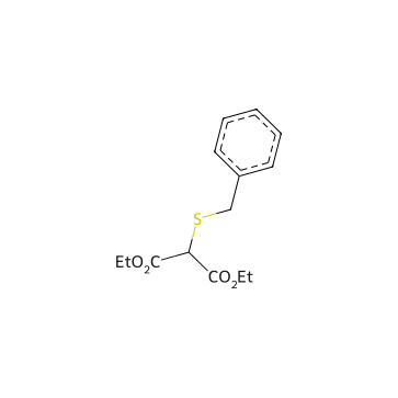 CCOC(=O)C(SCc1ccccc1)C(=O)OCC